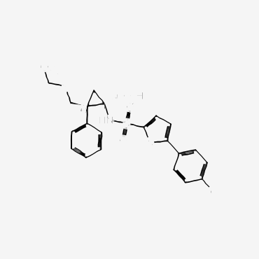 CCOC(=O)CSC[C@@]1(c2ccccc2)C[C@]1(NS(=O)(=O)c1ccc(-c2ccc(Cl)cc2)s1)C(=O)O